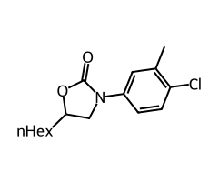 CCCCCCC1CN(c2ccc(Cl)c(C)c2)C(=O)O1